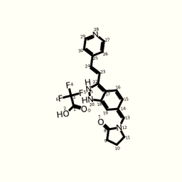 O=C(O)C(F)(F)F.O=C1CCCN1C=c1ccc2c(c1)NNC=2/C=C/c1ccncc1